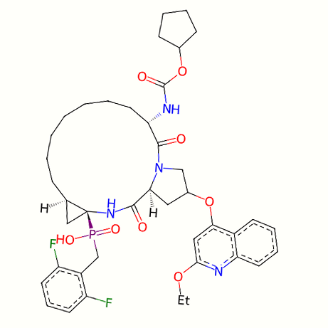 CCOc1cc(OC2C[C@H]3C(=O)N[C@]4(P(=O)(O)Cc5c(F)cccc5F)C[C@H]4CCCCCCC[C@H](NC(=O)OC4CCCC4)C(=O)N3C2)c2ccccc2n1